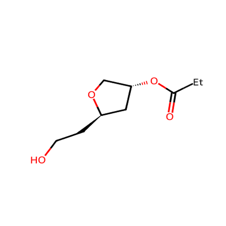 CCC(=O)O[C@H]1CO[C@H](CCO)C1